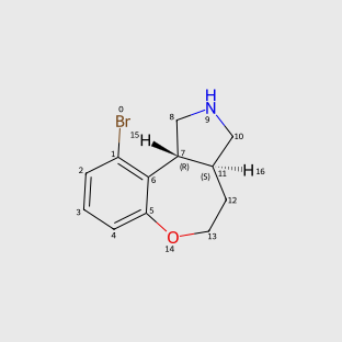 Brc1cccc2c1[C@@H]1CNC[C@H]1CCO2